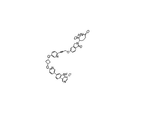 O=C1CCC(N2Cc3cc(OCC#Cc4ccc(O[C@H]5C[C@H](Oc6ccc(-c7ccc8c(c7)[nH]c7c(Cl)cncc78)cn6)C5)cn4)ccc3C2=O)C(=O)N1